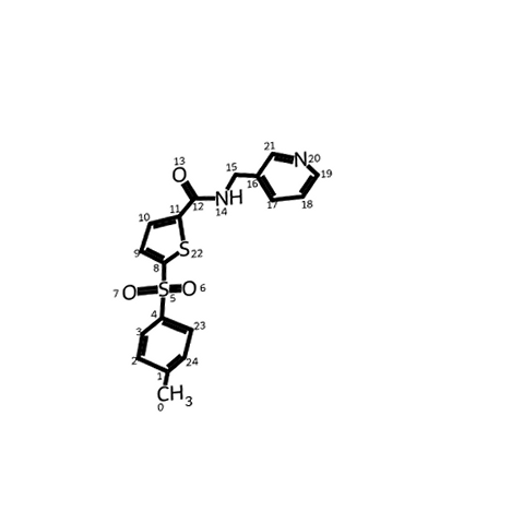 Cc1ccc(S(=O)(=O)c2ccc(C(=O)NCc3cccnc3)s2)cc1